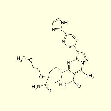 COCCOC1(C(N)=O)CCC(c2nc3c(-c4ccc(-c5ncc[nH]5)nc4)cnn3c(N)c2C(C)=O)CC1